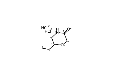 CCC1CNC(=O)CO1.Cl.Cl